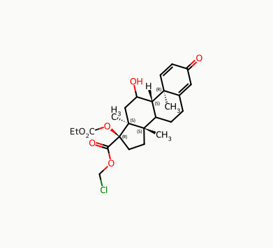 CCOC(=O)O[C@]1(C(=O)OCCl)CC[C@@]2(C)C3CCC4=CC(=O)C=C[C@]4(C)[C@H]3C(O)C[C@]12C